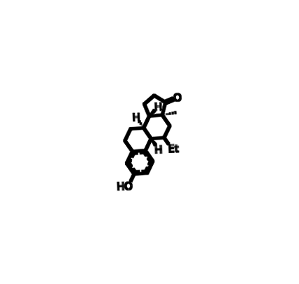 CCC1C[C@]2(C)C(=O)CC[C@H]2[C@@H]2CCc3cc(O)ccc3[C@@H]12